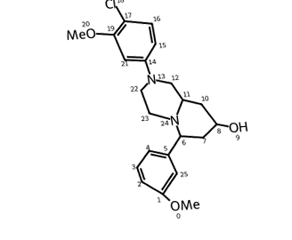 COc1cccc(C2CC(O)CC3CN(c4ccc(Cl)c(OC)c4)CCN32)c1